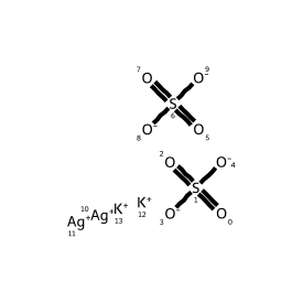 O=S(=O)([O-])[O-].O=S(=O)([O-])[O-].[Ag+].[Ag+].[K+].[K+]